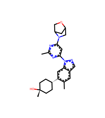 Cc1nc(N2CC3CC2CO3)cc(-n2ncc3cc(C)c([C@H]4CC[C@@](C)(O)CC4)cc32)n1